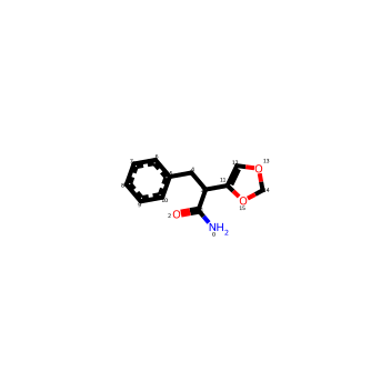 NC(=O)C(Cc1ccccc1)C1=COCO1